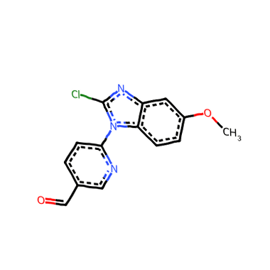 COc1ccc2c(c1)nc(Cl)n2-c1ccc(C=O)cn1